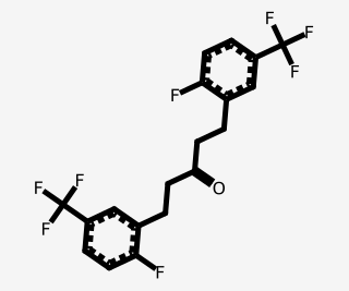 O=C(CCc1cc(C(F)(F)F)ccc1F)CCc1cc(C(F)(F)F)ccc1F